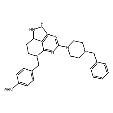 COc1ccc(CN2CCC3NNc4nc(N5CCN(Cc6ccccc6)CC5)nc2c43)cc1